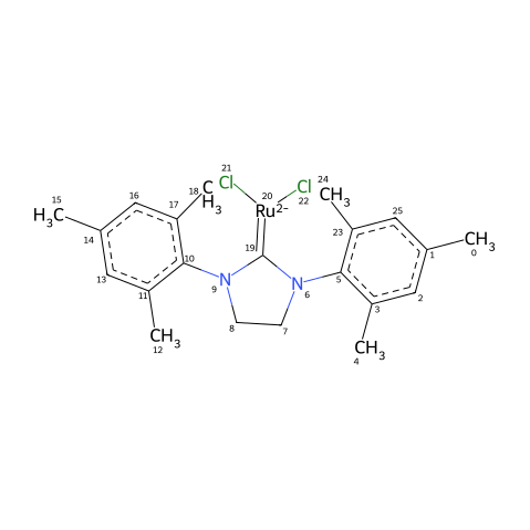 Cc1cc(C)c(N2CCN(c3c(C)cc(C)cc3C)[C]2=[Ru-2]([Cl])[Cl])c(C)c1